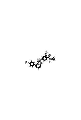 CCc1ccc(-c2cccn3nc(Nc4ccc(C(=O)NC5CC5)c(C)c4)nc23)cc1